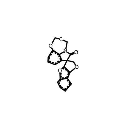 O=C1N2CCCOc3cccc(c32)C12COc1c2oc2ccccc12